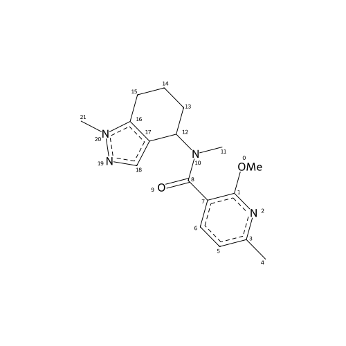 COc1nc(C)ccc1C(=O)N(C)C1CCCc2c1cnn2C